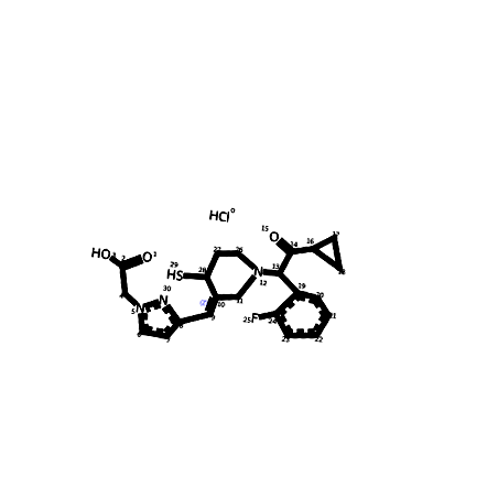 Cl.O=C(O)Cn1ccc(/C=C2/CN(C(C(=O)C3CC3)c3ccccc3F)CCC2S)n1